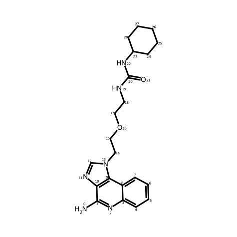 Nc1nc2ccccc2c2c1ncn2CCOCCNC(=O)NC1CCCCC1